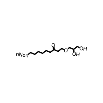 CCCCCCCCCCCCCCCC(=O)CCOCC(O)CO